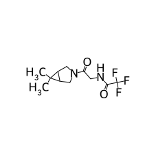 CC1(C)C2CN(C(=O)CNC(=O)C(F)(F)F)CC21